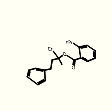 CCCc1ccccc1C(=O)OC(C)(CC)CCc1ccccc1